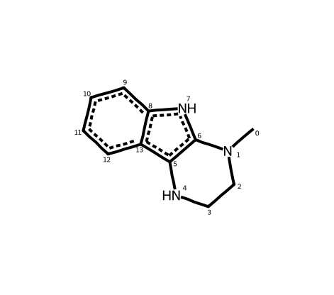 CN1CCNc2c1[nH]c1ccccc21